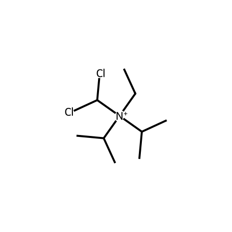 CC[N+](C(C)C)(C(C)C)C(Cl)Cl